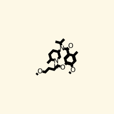 COCCCCOc1cc(C(=O)N(C(C)C)C2CCC(C)NC2)c(C)cc1OC